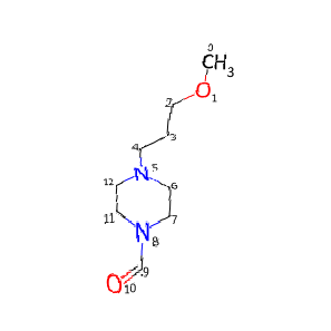 COCCCN1CCN([C]=O)CC1